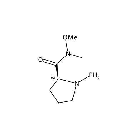 CON(C)C(=O)[C@@H]1CCCN1P